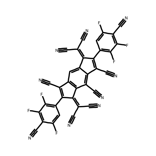 N#CC(C#N)=C1C(c2cc(F)c(C#N)c(F)c2F)=C(C#N)c2c1cc1c(c2C#N)C(=C(C#N)C#N)C(c2cc(F)c(C#N)c(F)c2F)=C1C#N